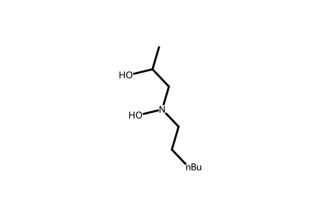 CCCCCCN(O)CC(C)O